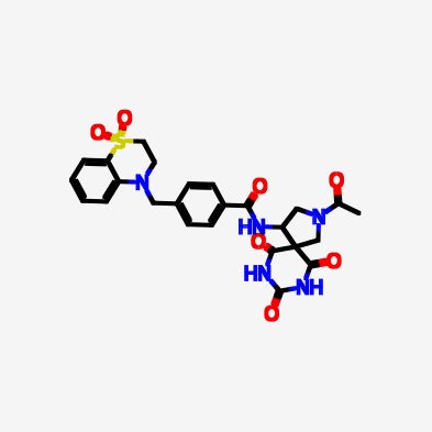 CC(=O)N1CC(NC(=O)c2ccc(CN3CCS(=O)(=O)c4ccccc43)cc2)C2(C1)C(=O)NC(=O)NC2=O